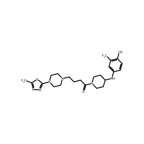 N#Cc1ccc(NC2CCN(C(=O)CCCN3CCN(c4nnc(C(F)(F)F)s4)CC3)CC2)cc1C(F)(F)F